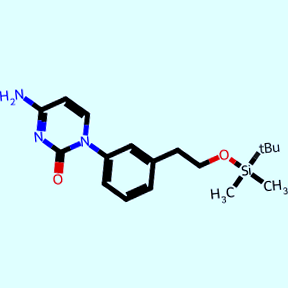 CC(C)(C)[Si](C)(C)OCCc1cccc(-n2ccc(N)nc2=O)c1